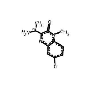 C[C@H](N)c1nc2cc(Cl)ccc2n(C)c1=O